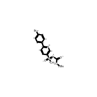 CC(C)(C)OC(=O)N=S(C)(=O)c1ccc(-c2ccc(Br)cc2)nc1